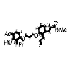 C=CCc1c(OCCCOc2ccc(C(C)=O)c(O)c2CCC)ccc2oc(C(=O)OC)cc12